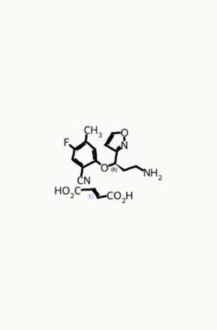 Cc1cc(O[C@H](CCN)c2ccon2)c(C#N)cc1F.O=C(O)/C=C/C(=O)O